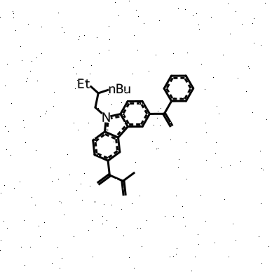 C=C(C)C(=C)c1ccc2c(c1)c1cc(C(=C)c3ccccc3)ccc1n2CC(CC)CCCC